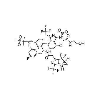 CC(C)(C#Cc1ccc(-c2ccc(Cl)c3c(N(CC(=O)NCCO)[SH](=O)=O)nn(CC(F)(F)F)c23)c(C(Cc2cc(F)cc(F)c2)NC(=O)Cn2nc(C(F)(F)F)c3c2C(F)(F)[C@@H]2C[C@H]32)n1)S(C)(=O)=O